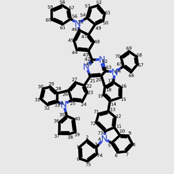 c1ccc(-n2c3ccccc3c3cc(-c4ccc5c(c4)c4c(-c6ccc7c(c6)c6ccccc6n7-c6ccccc6)nc(-c6ccc7c(c6)c6ccccc6n7-c6ccccc6)nc4n5-c4ccccc4)ccc32)cc1